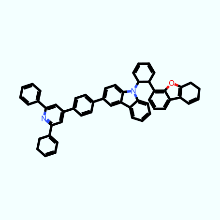 C1=CCCC(c2cc(-c3ccc(-c4ccc5c(c4)c4ccccc4n5C4C=CC=CC4c4cccc5c6c(oc45)CCC=C6)cc3)cc(-c3ccccc3)n2)=C1